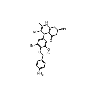 CCCC1CC(=O)C2=C(C1)NC(C)=C(C#N)C2c1cc(Br)c(OCc2ccc(N)cc2)c(OCC)c1